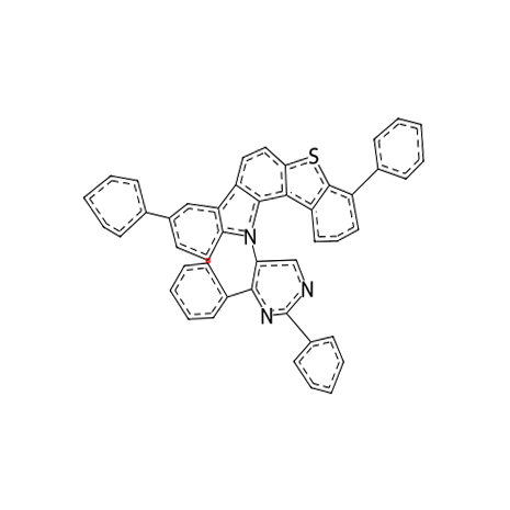 c1ccc(-c2ccc3c(c2)c2ccc4sc5c(-c6ccccc6)cccc5c4c2n3-c2cnc(-c3ccccc3)nc2-c2ccccc2)cc1